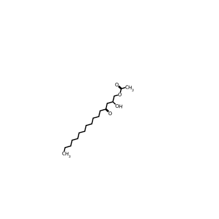 CCCCCCCCCCCCC(=O)CC(O)COC(C)=O